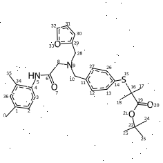 Cc1ccc(NC(=O)CN(Cc2ccc(SC(C)(C)C(=O)OC(C)(C)C)cc2)Cc2ccco2)c(C)c1